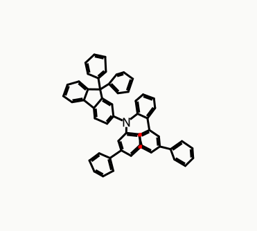 c1ccc(-c2cccc(-c3ccccc3N(c3cccc(-c4ccccc4)c3)c3ccc4c(c3)C(c3ccccc3)(c3ccccc3)c3ccccc3-4)c2)cc1